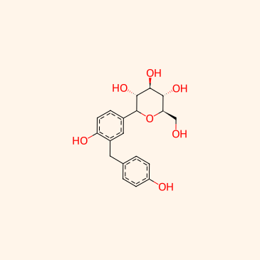 OC[C@H]1OC(c2ccc(O)c(Cc3ccc(O)cc3)c2)[C@H](O)[C@@H](O)[C@@H]1O